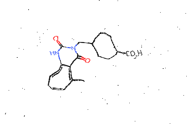 Cc1cccc2[nH]c(=O)n(CC3CCC(C(=O)O)CC3)c(=O)c12